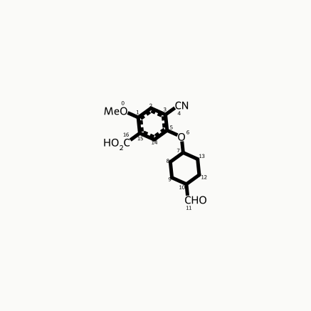 COc1cc(C#N)c(OC2CCC(C=O)CC2)cc1C(=O)O